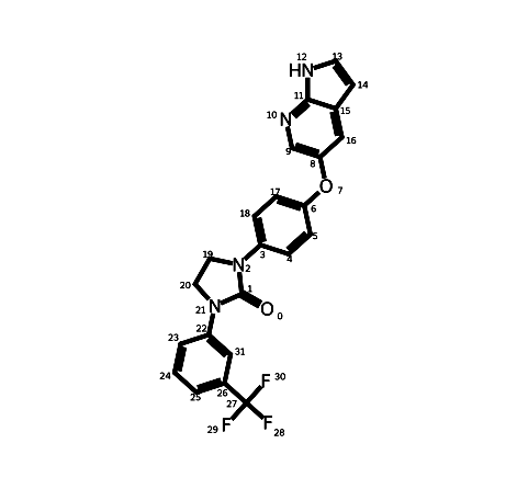 O=C1N(c2ccc(Oc3cnc4[nH]ccc4c3)cc2)CCN1c1cccc(C(F)(F)F)c1